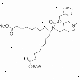 COC(=O)CCCCCCCC(CCCCCCCC(=O)OC)N(CC1CCN(C)CC1)C(=O)OCc1ccccc1